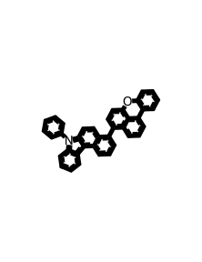 c1ccc(-n2c3ccccc3c3c4cccc(-c5ccc6c7c(cccc57)-c5ccccc5O6)c4ccc32)cc1